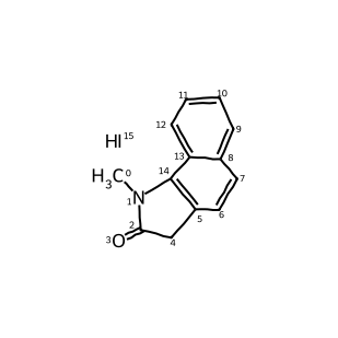 CN1C(=O)Cc2ccc3ccccc3c21.I